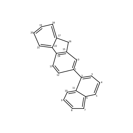 [c]1c(-c2cccc3ccccc23)ccc2c1Cc1ccccc1-2